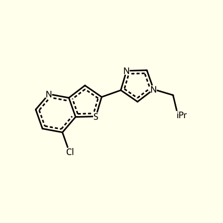 CC(C)Cn1cnc(-c2cc3nccc(Cl)c3s2)c1